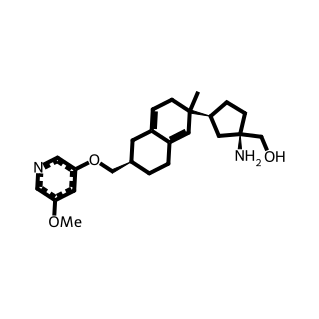 COc1cncc(OC[C@@H]2CCC3=CC(C)([C@H]4CC[C@](N)(CO)C4)CC=C3C2)c1